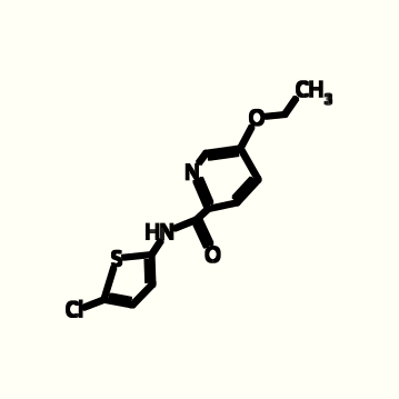 CCOc1ccc(C(=O)Nc2ccc(Cl)s2)nc1